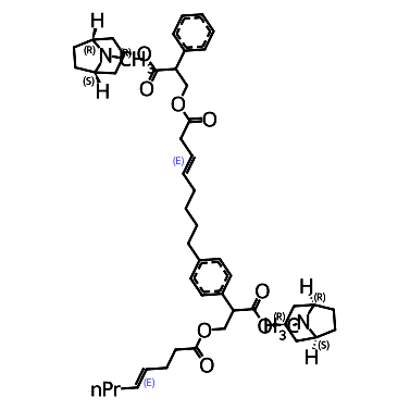 CCC/C=C/CCC(=O)OCC(C(=O)O[C@H]1C[C@H]2CC[C@@H](C1)N2C)c1ccc(CCCC/C=C/CC(=O)OCC(C(=O)O[C@H]2C[C@H]3CC[C@@H](C2)N3C)c2ccccc2)cc1